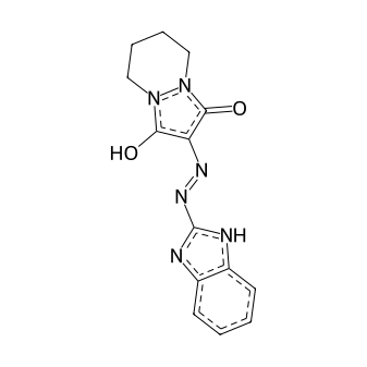 O=c1c(/N=N/c2nc3ccccc3[nH]2)c(O)n2n1CCCC2